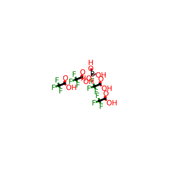 O=C(O)C(F)(F)F.O=C(O)C(F)(F)F.O=C(O)C(F)(F)F.O=C(O)C(F)(F)F.OB(O)O